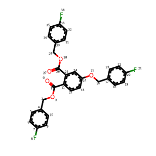 O=C(OCc1ccc(F)cc1)c1ccc(OCc2ccc(F)cc2)cc1C(=O)OCc1ccc(F)cc1